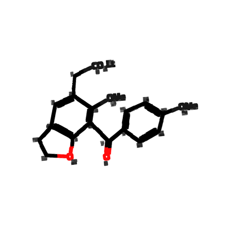 CCOC(=O)Cc1cc2c(c(C(=O)c3ccc(OC)cc3)c1OC)OCC2